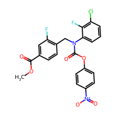 COC(=O)c1ccc(CN(C(=O)Oc2ccc([N+](=O)[O-])cc2)c2cccc(Cl)c2F)c(F)c1